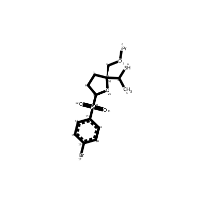 CC(C)OC[C@]1(C(C)S)CCC(S(=O)(=O)c2ccc(Br)cc2)O1